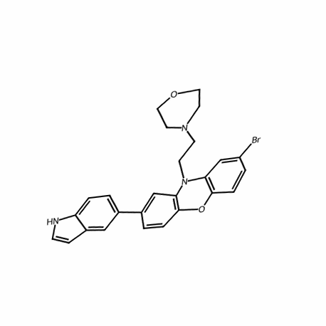 Brc1ccc2c(c1)N(CCN1CCOCC1)c1cc(-c3ccc4[nH]ccc4c3)ccc1O2